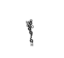 O=C1CCC(C2C(=O)c3ccc(N4CCN(CCCCC5CCNCC5)CC4)cc3C2=O)C(=O)N1